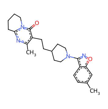 Cc1ccc2c(N3CCC(CCc4c(C)nc5n(c4=O)CCCC5)CC3)noc2c1